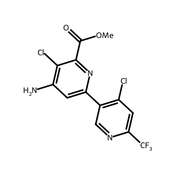 COC(=O)c1nc(-c2cnc(C(F)(F)F)cc2Cl)cc(N)c1Cl